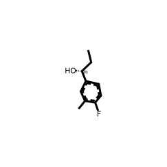 CC[C@@H](O)c1ccc(F)c(C)c1